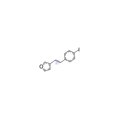 Ic1ccc(/C=C/c2ccoc2)cc1